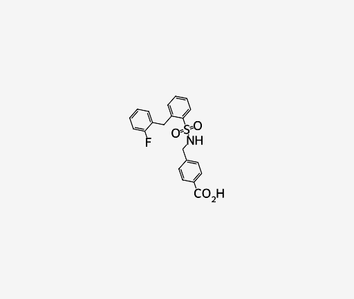 O=C(O)c1ccc(CNS(=O)(=O)c2ccccc2Cc2ccccc2F)cc1